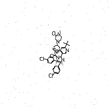 CCOc1cc(C(C)(C)C)ncc1C1=N[C@@](C)(c2ccc(Cl)cc2)[C@@](C)(c2ccc(Cl)cc2)N1C(=O)N1CCC(N2CCN(C)C(=O)C2)CC1